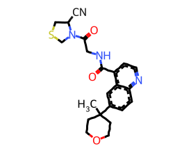 CC1(c2ccc3nccc(C(=O)NCC(=O)N4CSCC4C#N)c3c2)CCOCC1